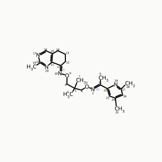 C/C(=N\OCC(C)(C)CO/N=C1\CCCc2cnc(C)nc21)c1cc(C)cc(C)n1